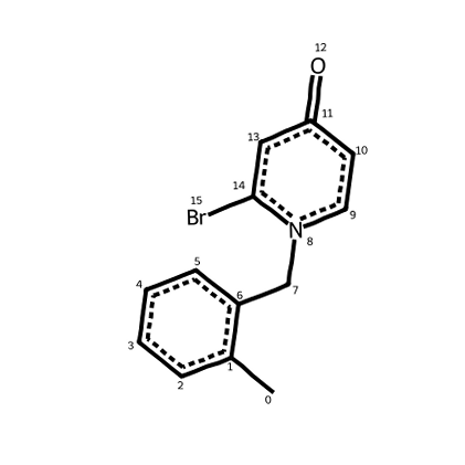 Cc1ccccc1Cn1ccc(=O)cc1Br